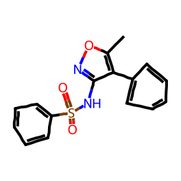 Cc1onc(NS(=O)(=O)c2ccccc2)c1-c1ccccc1